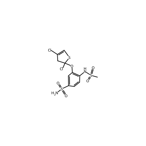 CS(=O)(=O)Nc1ccc(S(N)(=O)=O)cc1OC1(Cl)CC(Cl)=CS1